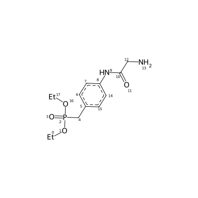 CCOP(=O)(Cc1ccc(NC(=O)CN)cc1)OCC